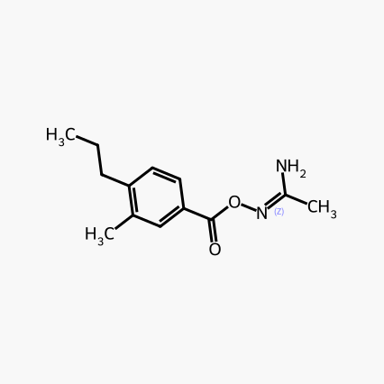 CCCc1ccc(C(=O)O/N=C(/C)N)cc1C